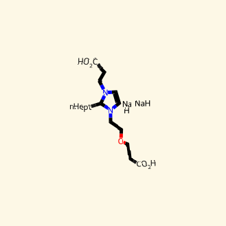 CCCCCCCC1N(CCOCCC(=O)O)C=CN1CCC(=O)O.[NaH].[NaH]